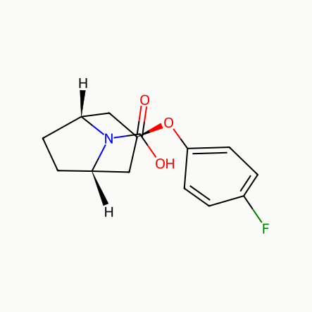 O=C(O)N1[C@@H]2CC[C@H]1C[C@H](Oc1ccc(F)cc1)C2